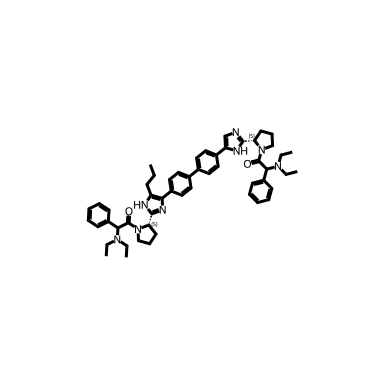 CCCc1[nH]c([C@@H]2CCCN2C(=O)C(c2ccccc2)N(CC)CC)nc1-c1ccc(-c2ccc(-c3cnc([C@@H]4CCCN4C(=O)C(c4ccccc4)N(CC)CC)[nH]3)cc2)cc1